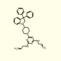 C=CCNc1nc(NCC=C)nc(N2CCC(NCC(c3ccccc3)(c3ccccc3)c3ccccc3)CC2)n1